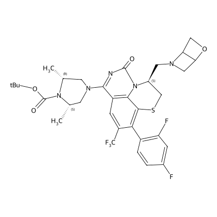 C[C@@H]1CN(c2nc(=O)n3c4c(c(-c5ccc(F)cc5F)c(C(F)(F)F)cc24)SC[C@@H]3CN2CC3OCC32)C[C@H](C)N1C(=O)OC(C)(C)C